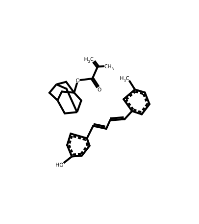 C=C(C)C(=O)OC12CC3CC(CC(C3)C1)C2.Cc1cccc(C=CC=Cc2ccc(O)cc2)c1